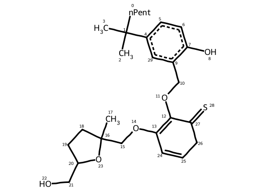 CCCCCC(C)(C)c1ccc(O)c(COC2=C(OCC3(C)CCC(CO)O3)C=CCC2=S)c1